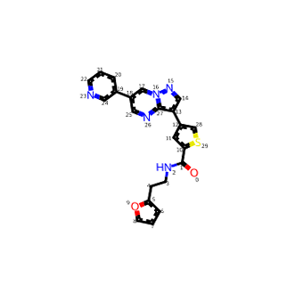 O=C(NCCc1ccco1)c1cc(-c2cnn3cc(-c4cccnc4)cnc23)cs1